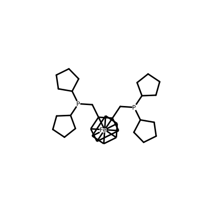 C1CCC(P(C[C]23[CH]4[CH]5[CH]6[C]2(CP(C2CCCC2)C2CCCC2)[Fe]54632789[CH]3[CH]2[CH]7[CH]8[CH]39)C2CCCC2)C1